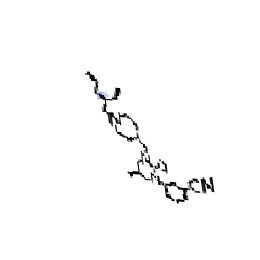 C=C/C=C(\C=C)CN1CCC(CN2CC(=C)CN(c3cccc(C#N)c3)C2=O)CC1